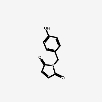 O=C1C=CC(=O)N1Cc1ccc(O)cc1